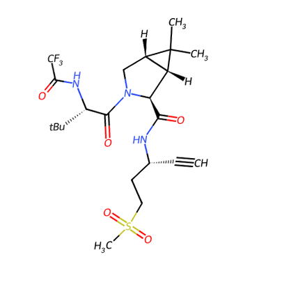 C#C[C@H](CCS(C)(=O)=O)NC(=O)[C@@H]1[C@@H]2[C@H](CN1C(=O)[C@@H](NC(=O)C(F)(F)F)C(C)(C)C)C2(C)C